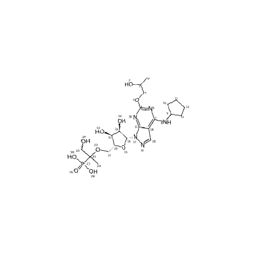 CC(O)COc1nc(NC2CCCC2)c2cnn([C@@H]3O[C@H](COC(C)(CO)P(=O)(O)O)[C@@H](O)[C@H]3O)c2n1